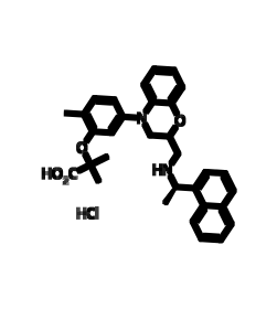 Cc1ccc(N2CC(CN[C@H](C)c3cccc4ccccc34)Oc3ccccc32)cc1OC(C)(C)C(=O)O.Cl